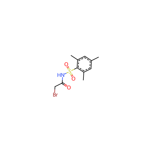 Cc1cc(C)c(S(=O)(=O)NC(=O)CBr)c(C)c1